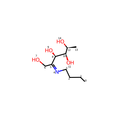 CCCC/N=C(/CO)[C@@H](O)[C@H](O)[C@H](C)O